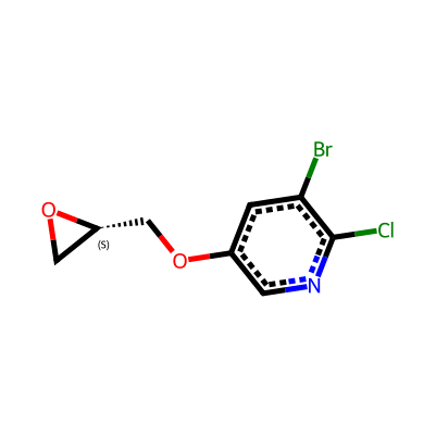 Clc1ncc(OC[C@@H]2CO2)cc1Br